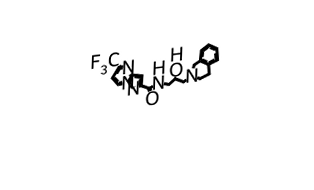 O=C(NC[C@H](O)CN1CCc2ccccc2C1)c1cc2nc(C(F)(F)F)ccn2n1